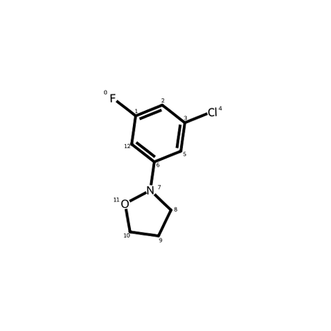 Fc1cc(Cl)cc(N2CCCO2)c1